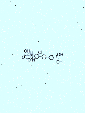 CC(CO)(CO)c1ccc(-c2ccc(-c3cc4nc(O[C@@H]5CO[C@H](CO)C5O)[nH]c4cc3Cl)cc2)cc1